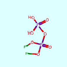 O=P(O)(O)OP(=O)(OF)OF